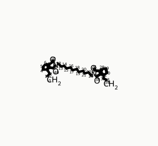 C=CCC12C=CC(C1)C1C(=O)N(CCCCCCCCCCCCN3C(=O)C4C5C=CC(CC=C)(C5)C4C3=O)C(=O)C12